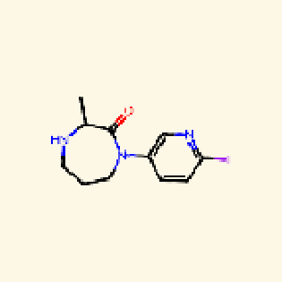 CC1NCCCN(c2ccc(I)nc2)C1=O